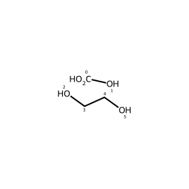 O=C(O)O.OCCO